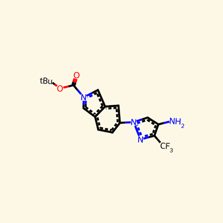 CC(C)(C)OC(=O)n1cc2ccc(-n3cc(N)c(C(F)(F)F)n3)cc2c1